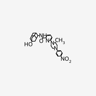 CC1CN(c2ccc([N+](=O)[O-])cc2)CCN1c1cccc(C(=O)NC2C3CC4CC2CC(O)(C4)C3)n1